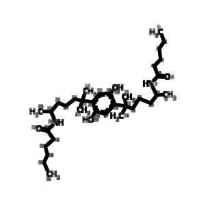 CCCCCC(=O)NC(C)CCCC(C)(C)c1cc(O)c(C(C)(C)CCCC(C)NC(=O)CCCCC)cc1O